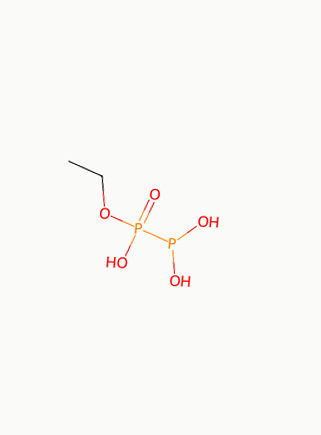 CCOP(=O)(O)P(O)O